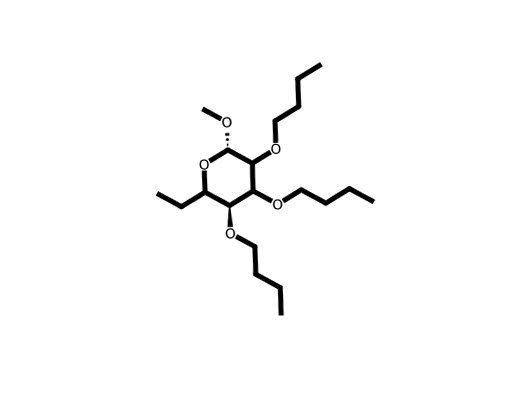 CCCCOC1C(OCCCC)[C@@H](OCCCC)C(CC)O[C@@H]1OC